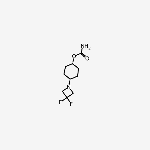 NC(=O)O[C@H]1CC[C@@H](N2CC(F)(F)C2)CC1